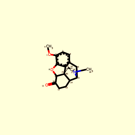 COc1ccc2c3c1OC1C(=O)CCC4C(C2)N(C)CC[C@@]314